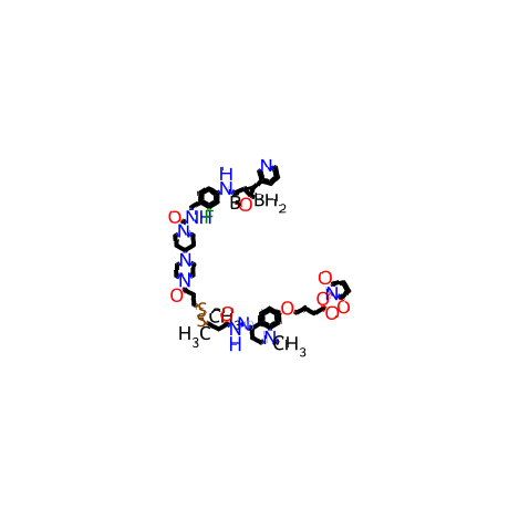 BC12OB=C(Nc3ccc(CNC(=O)N4CCC(N5CCN(C(=O)CCSSC(C)(C)CC(=O)N/N=C6\CCN(C)c7cc(OCCCC(=O)ON8C(=O)CCC8=O)ccc76)CC5)CC4)c(F)c3)C1C2c1cccnc1